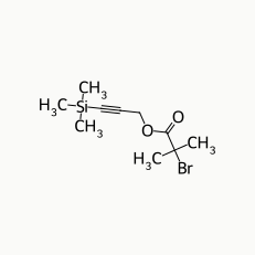 CC(C)(Br)C(=O)OCC#C[Si](C)(C)C